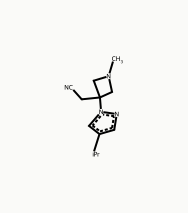 CC(C)c1cnn(C2(CC#N)CN(C)C2)c1